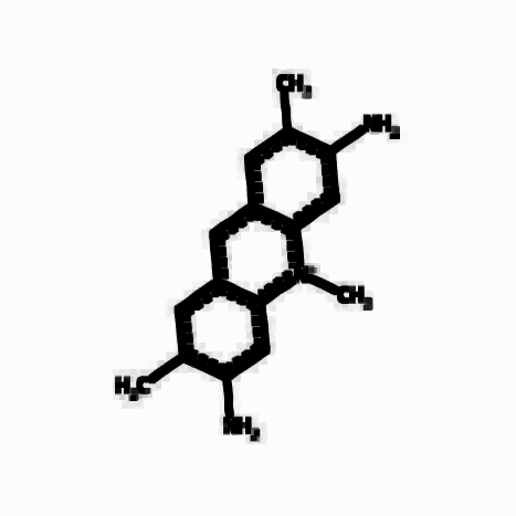 Cc1cc2cc3cc(C)c(N)cc3[n+](C)c2cc1N